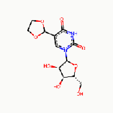 O=c1[nH]c(=O)n(C2O[C@H](CO)[C@@H](O)[C@H]2O)cc1C1OCCO1